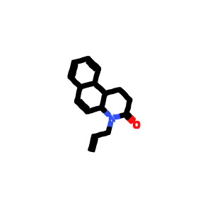 C=CCN1C(=O)CCC2C3C=CC=CC3C=CC21